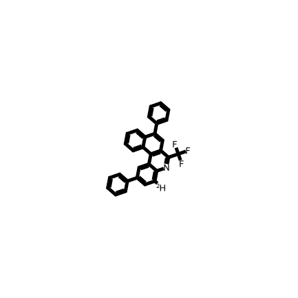 [2H]c1cc(-c2ccccc2)cc2c1nc(C(F)(F)F)c1cc(-c3ccccc3)c3ccccc3c12